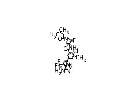 Cc1cc(-c2cc(C(F)(F)F)c3c(N)ncnn23)cc(C(=O)N[C@@H]2CN(C(=O)CC(C)C)C[C@@H]2F)c1Cl